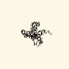 COc1ccc(C(OC[C@@H](Cn2c(=O)cc[nH]c2=O)O[P@]2O[C@H](CS(=O)(=O)c3ccccc3)[C@@H]3CCCN32)(c2ccccc2)c2ccc(OC)cc2)cc1